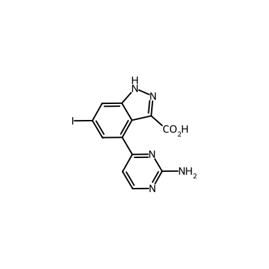 Nc1nccc(-c2cc(I)cc3[nH]nc(C(=O)O)c23)n1